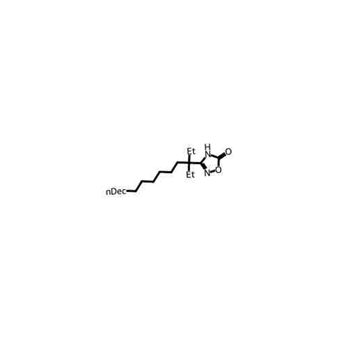 CCCCCCCCCCCCCCCCC(CC)(CC)c1noc(=O)[nH]1